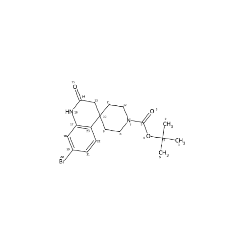 CC(C)(C)OC(=O)N1CCC2(CC1)CC(=O)Nc1cc(Br)ccc12